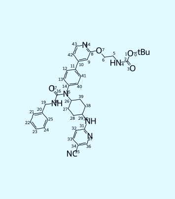 CC(C)(C)OC(=O)NCCOc1cc(-c2ccc(N(C(=O)NCc3ccccc3)C3CCC(Nc4ccc(C#N)cn4)CC3)cc2)ccn1